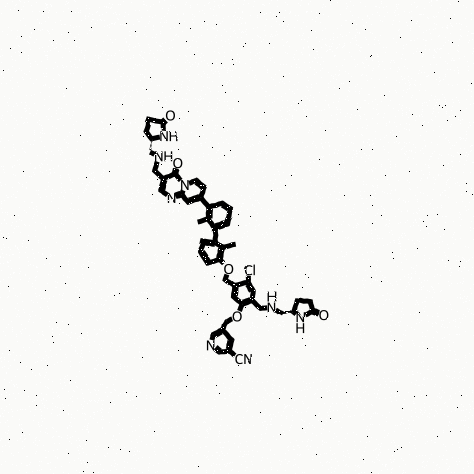 Cc1c(OCc2cc(OCc3cncc(C#N)c3)c(CNC[C@H]3CCC(=O)N3)cc2Cl)cccc1-c1cccc(-c2ccn3c(=O)c(CNC[C@@H]4CCC(=O)N4)cnc3c2)c1C